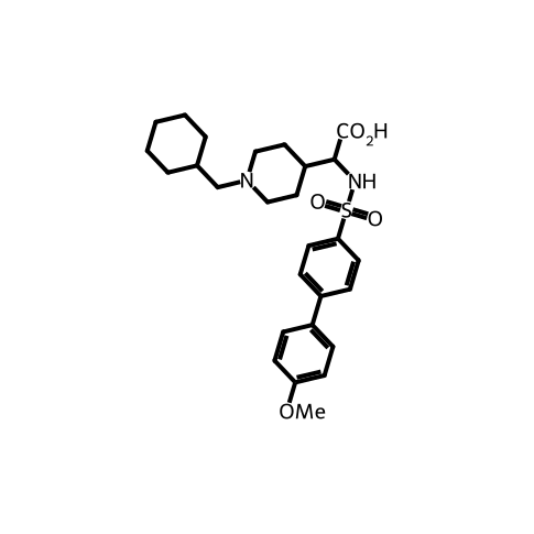 COc1ccc(-c2ccc(S(=O)(=O)NC(C(=O)O)C3CCN(CC4CCCCC4)CC3)cc2)cc1